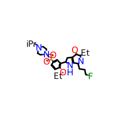 CCOc1ccc(S(=O)(=O)N2CCN(C(C)C)CC2)cc1C1CC2=C(N1)C(CCCF)=NC(CC)C2=O